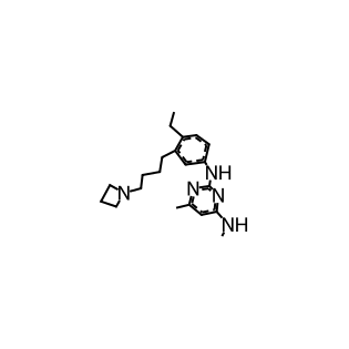 CCc1ccc(Nc2nc(C)cc(NC)n2)cc1CCCCN1CCC1